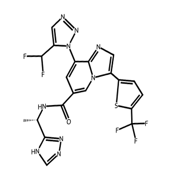 C[C@H](NC(=O)c1cc(-n2nncc2C(F)F)c2ncc(-c3ccc(C(F)(F)F)s3)n2c1)c1nnc[nH]1